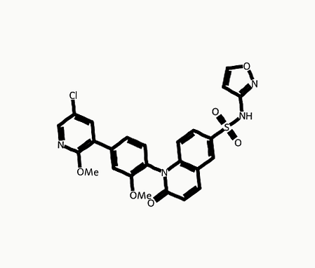 COc1cc(-c2cc(Cl)cnc2OC)ccc1-n1c(=O)ccc2cc(S(=O)(=O)Nc3ccon3)ccc21